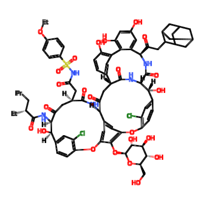 CCOc1ccc(S(=O)(=O)NC(=O)C[C@@H]2CC(=O)[C@H](NC(=O)[C@H](CC)CC(C)C)[C@H](O)c3ccc(c(Cl)c3)Oc3cc4cc(c3O[C@@H]3O[C@H](CO)[C@@H](O)[C@H](O)[C@H]3O)Oc3ccc(cc3Cl)[C@@H](O)[C@@H]3NC(=O)[C@H](CC(=O)[C@@H]4NC2=O)c2ccc(O)c(c2)-c2c(O)cc(O)cc2[C@@H](C(=O)CC2C4CC5CC(C4)CC2C5)NC3=O)cc1